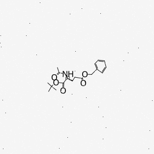 CC(=O)N[C@@H](CCC(=O)OCc1ccccc1)C(=O)OC(C)(C)C